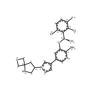 C[C@@H](Oc1cc(-c2cnn(C3CNC4(COC4)C3)c2)cnc1N)c1c(Cl)ccc(F)c1Cl